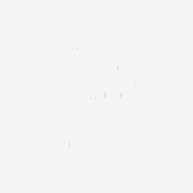 O=C1OCC(OCC(F)=C(F)F)(C(F)(F)C(F)(F)F)O1